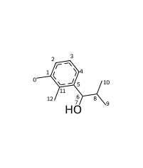 Cc1cccc(C(O)C(C)C)c1C